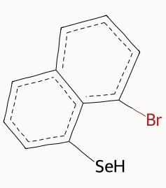 [SeH]c1cccc2cccc(Br)c12